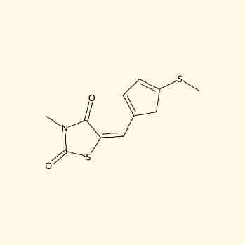 CSC1=CC=C(C=C2SC(=O)N(C)C2=O)C1